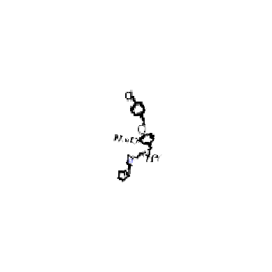 CCCN(CC/N=C\CN1CCCC1)Cc1ccc(OCc2ccc(Cl)cc2)c(OC)c1